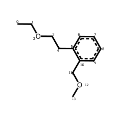 CCOCCc1ccccc1[CH]OC